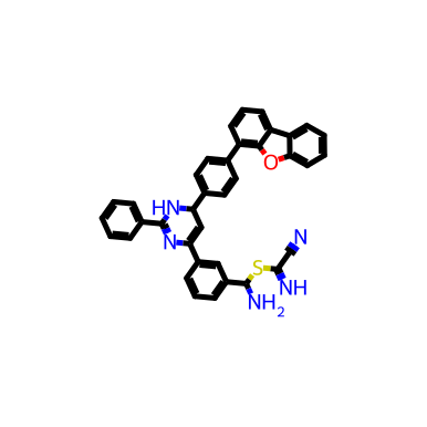 N#CC(=N)SC(N)c1cccc(C2=CC(c3ccc(-c4cccc5c4oc4ccccc45)cc3)NC(c3ccccc3)=N2)c1